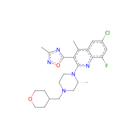 Cc1noc(-c2c(N3CCN(CC4CCOCC4)C[C@H]3C)nc3c(F)cc(Cl)cc3c2C)n1